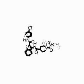 CN(C)C(=O)N1CCC(C(=O)Nc2c(C(=O)Nc3ccc(Cl)cn3)oc3ccccc23)CC1